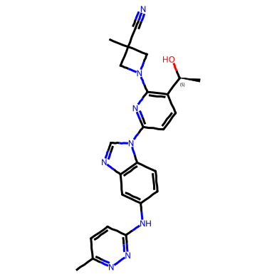 Cc1ccc(Nc2ccc3c(c2)ncn3-c2ccc([C@H](C)O)c(N3CC(C)(C#N)C3)n2)nn1